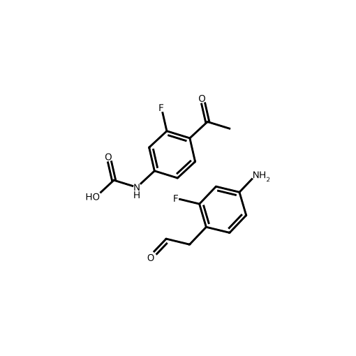 CC(=O)c1ccc(NC(=O)O)cc1F.Nc1ccc(CC=O)c(F)c1